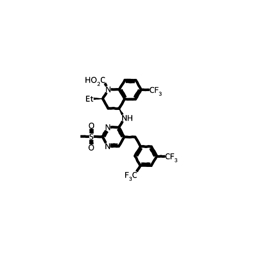 CC[C@@H]1C[C@H](Nc2nc(S(C)(=O)=O)ncc2Cc2cc(C(F)(F)F)cc(C(F)(F)F)c2)c2cc(C(F)(F)F)ccc2N1C(=O)O